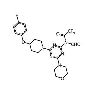 O=CN(C(=O)C(F)(F)F)c1nc(N2CCOCC2)nc(N2CCC(Oc3ccc(F)cc3)CC2)n1